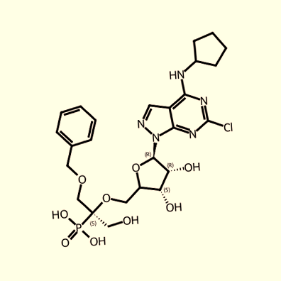 O=P(O)(O)[C@@](CO)(COCc1ccccc1)OCC1O[C@@H](n2ncc3c(NC4CCCC4)nc(Cl)nc32)[C@H](O)[C@@H]1O